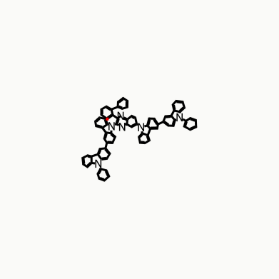 c1ccc(-c2ccccc2-c2nc3ccc(-n4c5ccccc5c5cc(-c6ccc7c(c6)c6ccccc6n7-c6ccccc6)ccc54)cc3nc2-n2c3ccccc3c3cc(-c4ccc5c(c4)c4ccccc4n5-c4ccccc4)ccc32)cc1